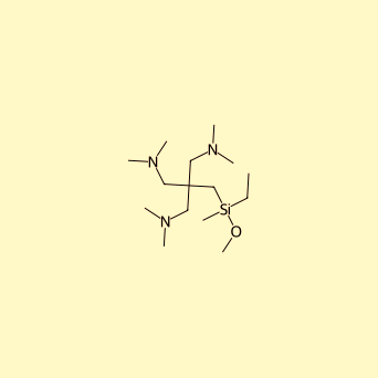 CC[Si](C)(CC(CN(C)C)(CN(C)C)CN(C)C)OC